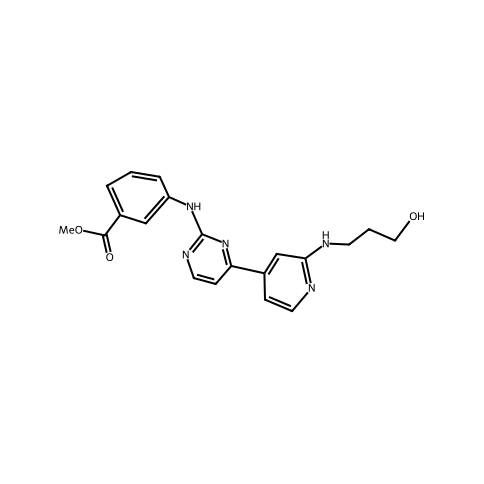 COC(=O)c1cccc(Nc2nccc(-c3ccnc(NCCCO)c3)n2)c1